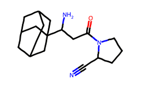 N#CC1CCCN1C(=O)CC(N)C12CC3CC(CC(C3)C1)C2